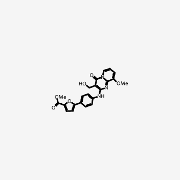 COC(=O)c1ccc(-c2ccc(Nc3nc4c(OC)cccn4c(=O)c3CO)cc2)o1